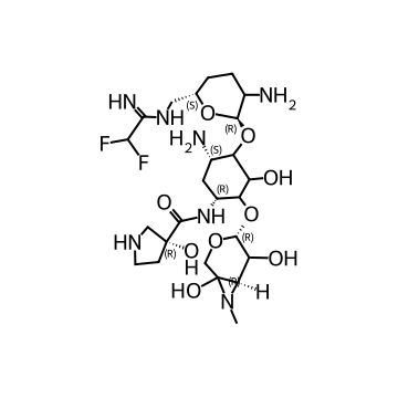 CN1[C@@H]2C(O)[C@@H](OC3C(O)C(O[C@H]4O[C@H](CNC(=N)C(F)F)CCC4N)[C@@H](N)C[C@H]3NC(=O)[C@@]3(O)CCNC3)OCC21O